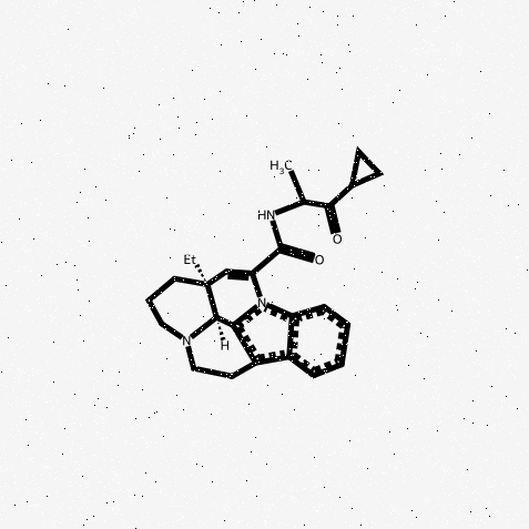 CC[C@@]12C=C(C(=O)NC(C)C(=O)C3CC3)n3c4c(c5ccccc53)CCN(CCC1)[C@H]42